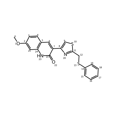 COc1ccc2cc(-c3csc(CSc4ccccc4)n3)c(=O)[nH]c2c1